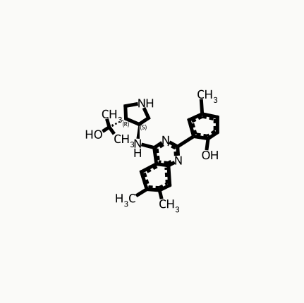 Cc1ccc(O)c(-c2nc(N[C@@H]3CNC[C@H]3C(C)(C)O)c3cc(C)c(C)cc3n2)c1